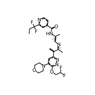 C=C(/C(C)=N\C=C(/C)NC(=O)c1ccnc(C(F)(F)CC)c1)c1cc(N2CCOCC2)c(OCC(F)F)nn1